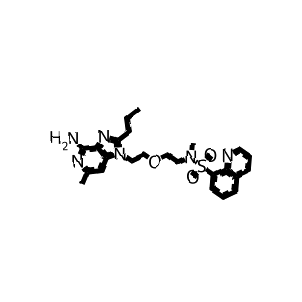 CCCc1nc2c(N)nc(C)cc2n1CCOCCN(C)S(=O)(=O)c1cccc2cccnc12